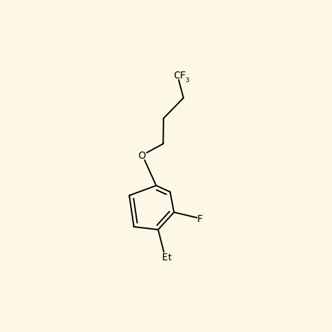 CCc1ccc(OCCCC(F)(F)F)cc1F